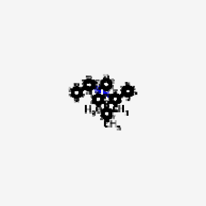 Cc1cc(C)c(B2c3ccc(-c4ccccc4)cc3N3c4ccccc4N(c4cccc(-c5ccccc5)c4)c4cccc2c43)c(C)c1